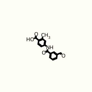 Cc1cc(NC(=O)c2cccc(C=O)c2)ccc1C(=O)O